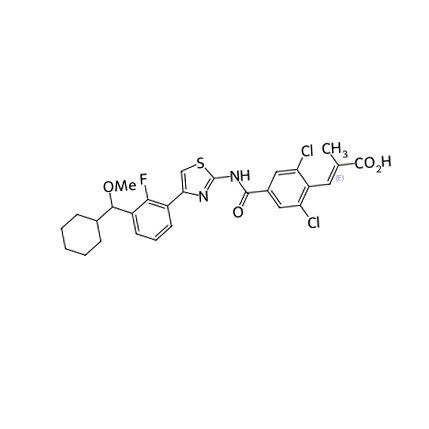 COC(c1cccc(-c2csc(NC(=O)c3cc(Cl)c(/C=C(\C)C(=O)O)c(Cl)c3)n2)c1F)C1CCCCC1